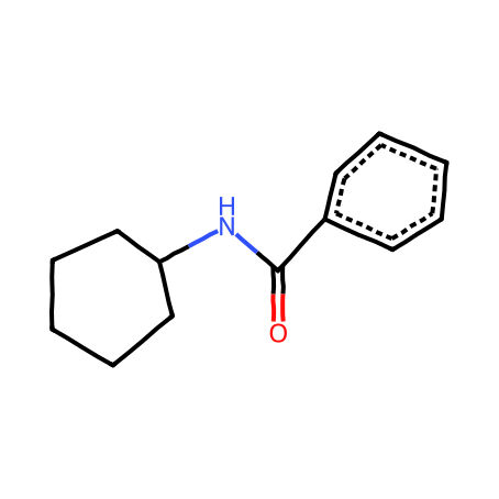 O=C(NC1CCCCC1)c1ccccc1